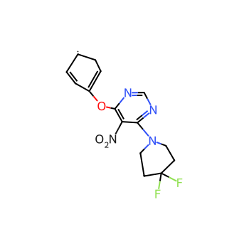 O=[N+]([O-])c1c(OC2=CC[CH]C=C2)ncnc1N1CCC(F)(F)CC1